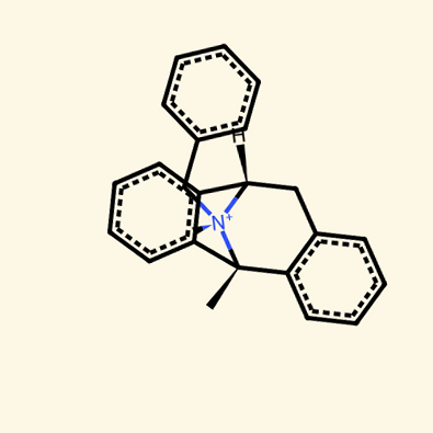 C[C@@]12c3ccccc3C[C@@H](c3ccccc31)[N@@+]2(C)Cc1ccccc1